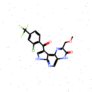 COCc1nc2c(cnc3[nH]cc(C(=O)c4ccc(C(F)(F)F)cc4Cl)c32)[nH]c1=O